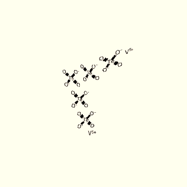 O=[Te](=O)([O-])[O-].O=[Te](=O)([O-])[O-].O=[Te](=O)([O-])[O-].O=[Te](=O)([O-])[O-].O=[Te](=O)([O-])[O-].[V+5].[V+5]